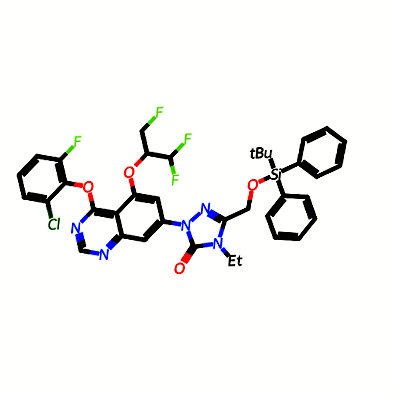 CCn1c(CO[Si](c2ccccc2)(c2ccccc2)C(C)(C)C)nn(-c2cc(OC(CF)C(F)F)c3c(Oc4c(F)cccc4Cl)ncnc3c2)c1=O